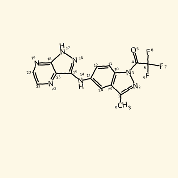 Cc1nn(C(=O)C(F)(F)F)c2ccc(Nc3n[nH]c4nccnc34)cc12